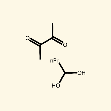 CC(=O)C(C)=O.CCCC(O)O